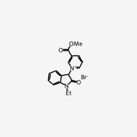 CCN1C(=O)C([n+]2cccc(C(=O)OC)c2)c2ccccc21.[Br-]